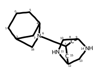 C1CC2CC(C1)N(C1CC3CNC(CN3)C1)C2